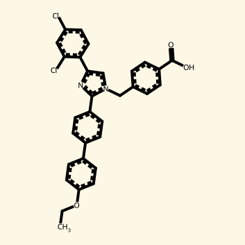 CCOc1ccc(-c2ccc(-c3nc(-c4ccc(Cl)cc4Cl)cn3Cc3ccc(C(=O)O)cc3)cc2)cc1